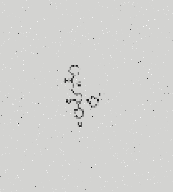 O=C(CN1C[C@H](c2cccc(C(F)(F)F)c2)N(c2ccc(Cl)cc2)C1=O)NN1CCCCC1